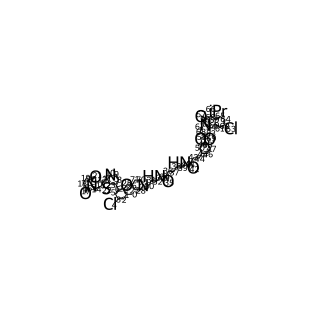 Cc1cc(Cl)cc(-c2ccnc3cc(CN4C(=O)CCC4=O)sc23)c1OC1CCN(CCCNC(=O)CCCCNC(=O)CCc2ccc3c(c2)OC2(CCN(C(=O)[C@H](c4ccc(Cl)cc4)C(C)C)CC2)O3)CC1